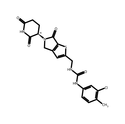 Cc1ccc(NC(=O)NCc2cc3c(s2)C(=O)N([C@@H]2CCC(=O)NC2=O)C3)cc1Cl